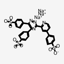 O=S(=O)([O-])c1ccc(-c2ccnc(-c3nnc(-c4ccc(S(=O)(=O)[O-])cc4)c(-c4ccc(S(=O)(=O)[O-])cc4)n3)c2)cc1.[Na+].[Na+].[Na+]